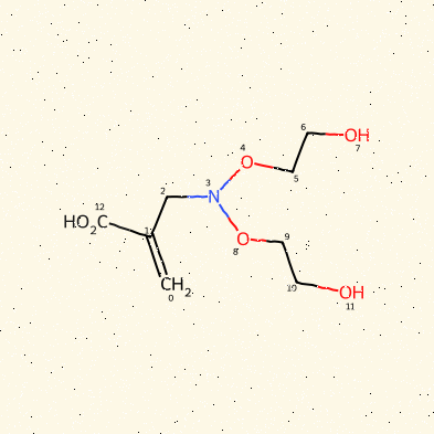 C=C(CN(OCCO)OCCO)C(=O)O